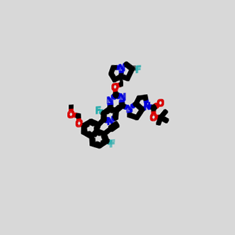 C#Cc1c(F)ccc2cc(OCOC)cc(-c3ncc4c(N5CCC6C5CCN6C(=O)OC(C)(C)C)nc(OC[C@@]56CCCN5C[C@H](F)C6)nc4c3F)c12